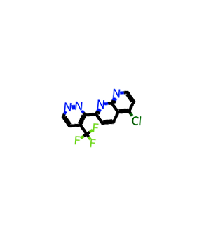 FC(F)(F)c1ccnnc1-c1ccc2c(Cl)ccnc2n1